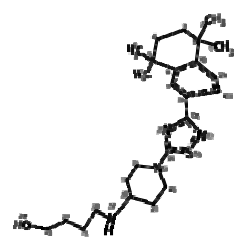 CC1(C)CCC(C)(C)c2cc(-c3nsc(N4CCC(NCCCCO)CC4)n3)ccc21